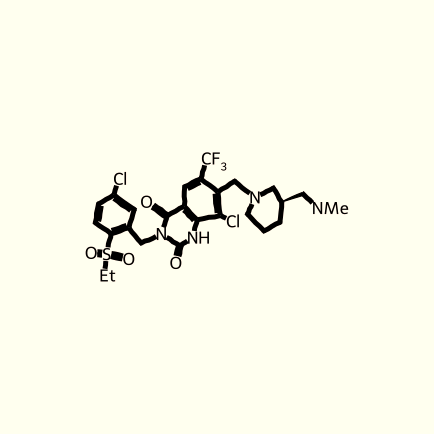 CCS(=O)(=O)c1ccc(Cl)cc1Cn1c(=O)[nH]c2c(Cl)c(CN3CCC[C@H](CNC)C3)c(C(F)(F)F)cc2c1=O